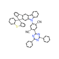 N#Cc1cc(-n2c3ccccc3c3cc4c(cc32)C2(c3ccccc3Sc3ccccc32)c2ccccc2-4)c(C#N)cc1-c1nc(-c2ccccc2)nc(-c2ccccc2)n1